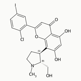 CN1CC[C@@H](c2c(O)cc(O)c3c(=O)cc(-c4cc(I)ccc4Cl)oc23)[C@@H]1CO